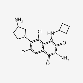 NC1CCN(c2c(F)cc3c(=O)n(N)c(=O)n(NC4CCC4)c3c2Cl)C1